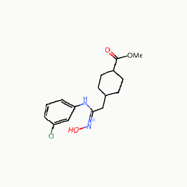 COC(=O)C1CCC(C/C(=N/O)Nc2cccc(Cl)c2)CC1